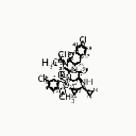 COc1ccc(Cl)cc1S(=O)(=O)N1CC(NC(C2CC2)C2CC2)C(=O)N2C1=CN(C(C)C)C(=O)C2Cc1ccc(Cl)cc1